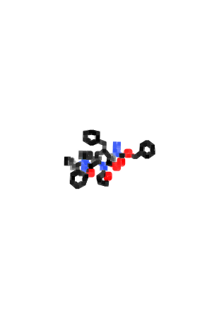 CC[C@H](NC(=O)CN(C(=O)[C@@H](NC(=O)OCc1ccccc1)C(Cc1ccccc1)C(=O)O)c1ccco1)c1ccccc1